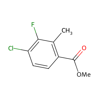 COC(=O)c1ccc(Cl)c(F)c1C